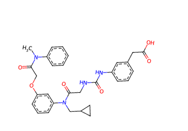 CN(C(=O)COc1cccc(N(CC2CC2)C(=O)CNC(=O)Nc2cccc(CC(=O)O)c2)c1)c1ccccc1